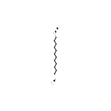 N#COCCCCCCCCCCCCN=C=O